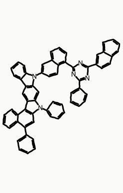 c1ccc(-c2nc(-c3ccc4ccccc4c3)nc(-c3cccc4cc(-n5c6ccccc6c6cc7c8c9ccccc9c(-c9ccccc9)cc8n(-c8ccccc8)c7cc65)ccc34)n2)cc1